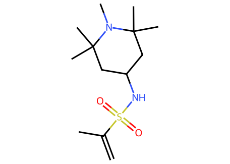 C=C(C)S(=O)(=O)NC1CC(C)(C)N(C)C(C)(C)C1